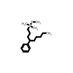 CCCCCC(CCC[Si](C)(C)OC)c1ccccc1